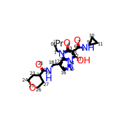 CC(C)Cn1c(=O)c(C(=O)NC2CC2)c(O)n2ncc(CNC(=O)C3CCOCC3)c12